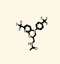 CC(=O)NCC1CN(c2ccc(C(F)(F)F)cc2)c2ccc(C(F)(F)F)nc2O1